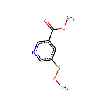 COSc1cncc(C(=O)OC)c1